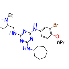 CCCOc1ccc(Nc2nc(NCC3CCCN3CC)nc(NC3CCCCCC3)n2)cc1Br